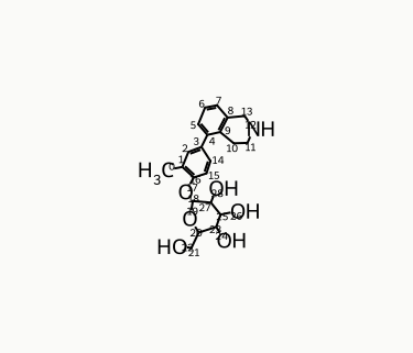 Cc1cc(-c2cccc3c2CCNC3)ccc1OC1OC(CO)C(O)C(O)C1O